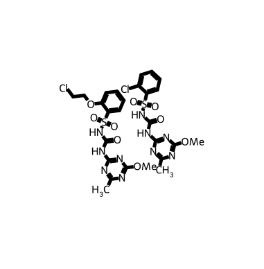 COc1nc(C)nc(NC(=O)NS(=O)(=O)c2ccccc2Cl)n1.COc1nc(C)nc(NC(=O)NS(=O)(=O)c2ccccc2OCCCl)n1